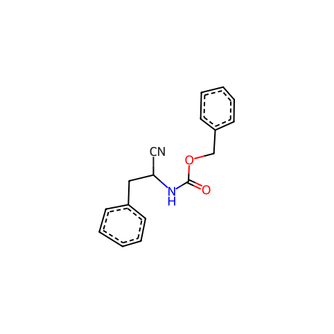 N#CC(Cc1ccccc1)NC(=O)OCc1ccccc1